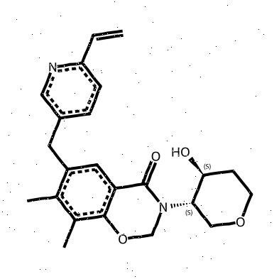 C=Cc1ccc(Cc2cc3c(c(C)c2C)OCN([C@H]2COCC[C@@H]2O)C3=O)cn1